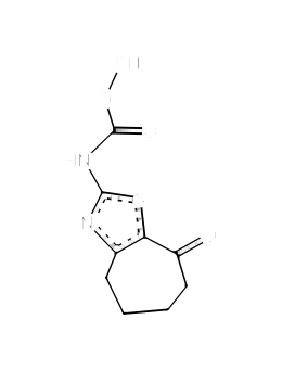 COC(=O)Nc1nc2c(s1)C(=O)CCCC2